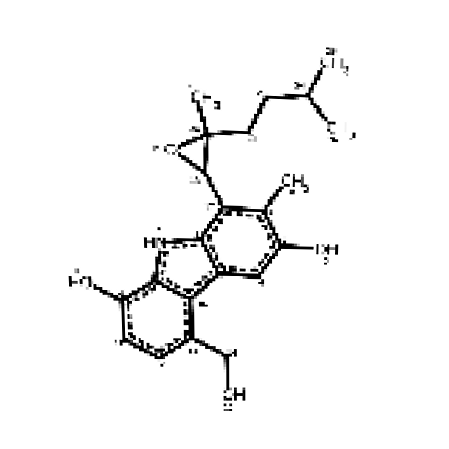 Cc1c(O)cc2c([nH]c3c(O)ccc(CO)c32)c1C1OC1(C)CCC(C)C